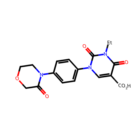 CCn1c(=O)c(C(=O)O)cn(-c2ccc(N3CCOCC3=O)cc2)c1=O